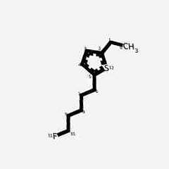 CCc1ccc(CCCCCF)s1